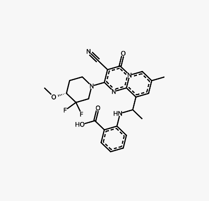 CO[C@@H]1CCN(c2nc3c(C(C)Nc4ccccc4C(=O)O)cc(C)cn3c(=O)c2C#N)CC1(F)F